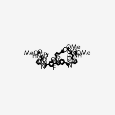 COC(=O)NC(C(=O)N1CCC[C@H]1c1ncc(-c2ccc3c(c2)cc2n3C(c3ccc(C4CC4)s3)Oc3cc(-c4cnc([C@@H]5CCCN5C(=O)[C@@H](NC(=O)OC)C(C)C)[nH]4)cc(F)c3-2)[nH]1)C1CN(C(=O)OC)C1